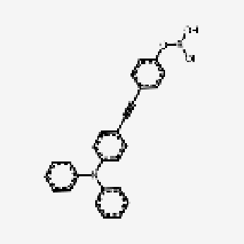 OB(O)Oc1ccc(C#Cc2ccc(N(c3ccccc3)c3ccccc3)cc2)cc1